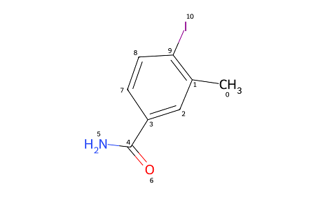 Cc1cc(C(N)=O)ccc1I